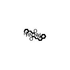 O=c1[nH]c(=Cc2ccc3ccccc3n2)c(=O)[nH]c1=Cc1cccnc1